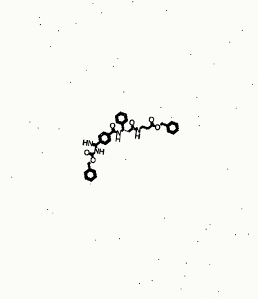 N=C(NC(=O)OCc1ccccc1)c1ccc(C(=O)N[C@@H](CC(=O)NCCC(=O)OCc2ccccc2)c2ccccc2)cc1